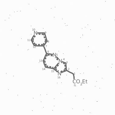 CCOC(=O)Cc1cn2nc(-c3ccncc3)ccc2n1